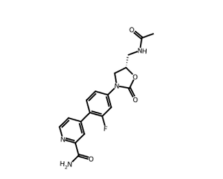 CC(=O)NC[C@H]1CN(c2ccc(-c3ccnc(C(N)=O)c3)c(F)c2)C(=O)O1